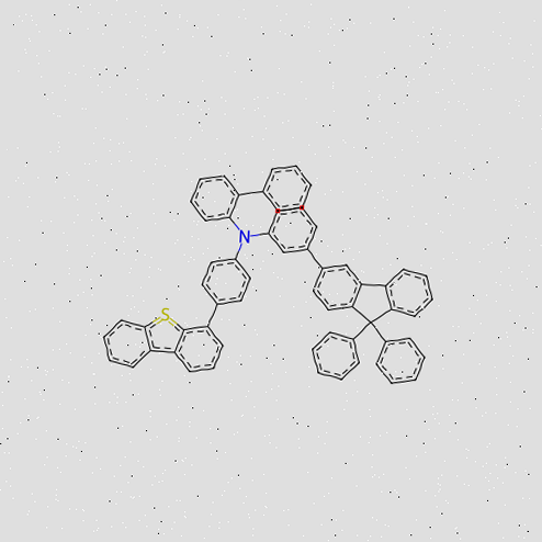 c1ccc(-c2ccccc2N(c2ccc(-c3cccc4c3sc3ccccc34)cc2)c2cccc(-c3ccc4c(c3)-c3ccccc3C4(c3ccccc3)c3ccccc3)c2)cc1